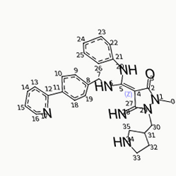 CN1C(=O)/C(=C(/NCc2ccc(-c3ccccn3)cc2)Nc2ccccc2)C(=N)N1CC1CCNC1